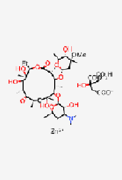 CC[C@H]1OC(=O)[C@H](C)[C@@H](O[C@H]2C[C@@](C)(OC)[C@@H](O)[C@H](C)O2)[C@H](C)[C@@H](O[C@@H]2O[C@H](C)C[C@H](N(C)C)[C@H]2O)[C@](C)(O)C[C@@H](C)C(=O)[C@H](C)[C@@H](O)[C@]1(C)O.O=C([O-])CC(O)(CC(=O)O)C(=O)[O-].[Zn+2]